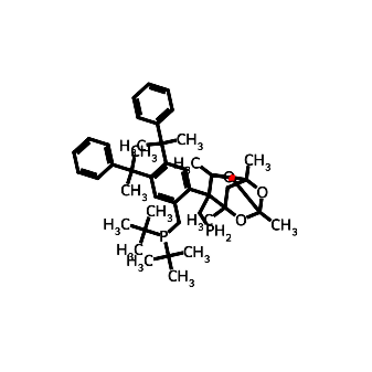 CC12CC3(C)OC(C)(CC(C)(O1)C3(CP)c1cc(C(C)(C)c3ccccc3)c(C(C)(C)c3ccccc3)cc1CP(C(C)(C)C)C(C)(C)C)O2